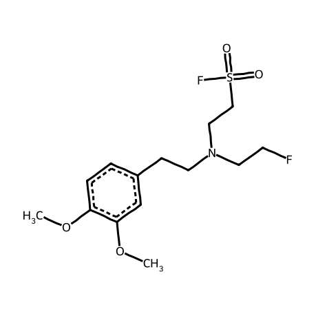 COc1ccc(CCN(CCF)CCS(=O)(=O)F)cc1OC